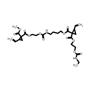 C=CC1CC1(C(=O)OC)C(=O)OCCOC(=O)NCCCCOC(=O)C1(C(=O)OCCOC(=O)NCC)CC1C=C